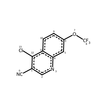 N#Cc1cnc2cc(OC(F)(F)F)ccc2c1Cl